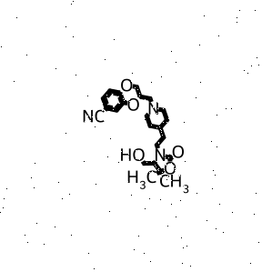 CC1(C)OC(=O)N(CCC2CCN(CC3COc4ccc(C#N)cc4O3)CC2)C1CO